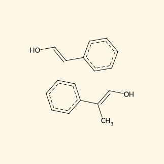 CC(=CO)c1ccccc1.OC=Cc1ccccc1